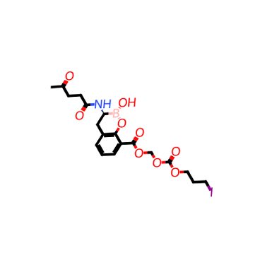 CC(=O)CCC(=O)N[C@H]1Cc2cccc(C(=O)OCOC(=O)OCCCI)c2OB1O